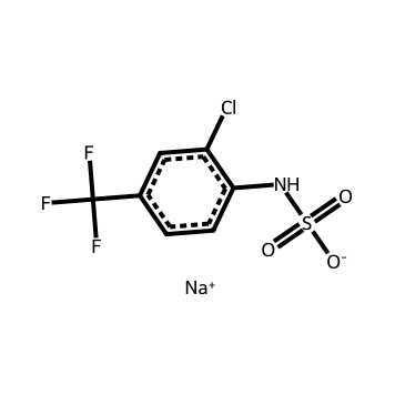 O=S(=O)([O-])Nc1ccc(C(F)(F)F)cc1Cl.[Na+]